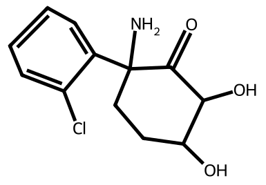 NC1(c2ccccc2Cl)CCC(O)C(O)C1=O